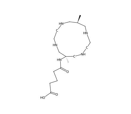 C[C@H]1CNCCNC[C@@](C)(NC(=O)CCCC(=O)O)CNCCNC1